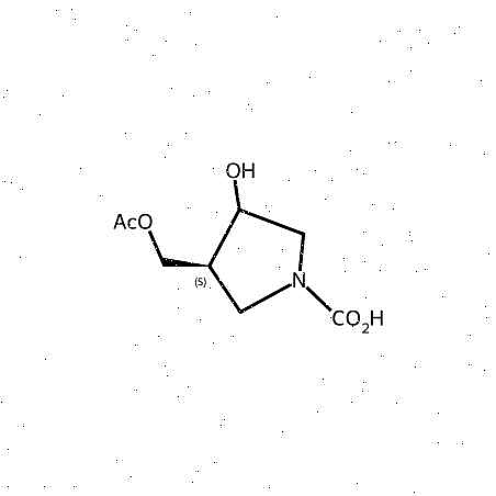 CC(=O)OC[C@@H]1CN(C(=O)O)CC1O